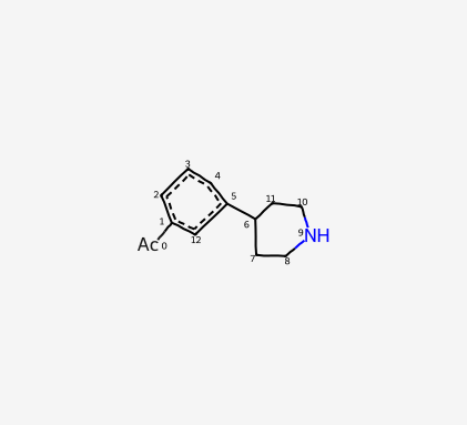 CC(=O)c1cccc(C2CCNCC2)c1